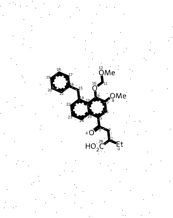 CCC(CC(=O)c1cc(OC)c(OCOC)c2c(Cc3ccccc3)cccc12)C(=O)O